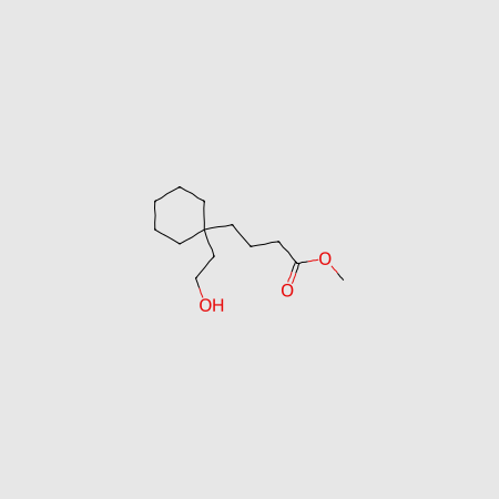 COC(=O)CCCC1(CCO)CCCCC1